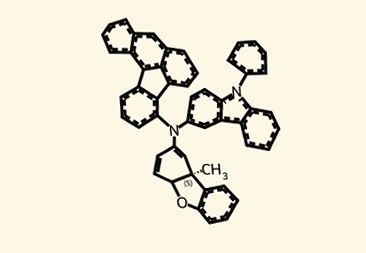 C[C@@]12C=C(N(c3ccc4c(c3)c3ccccc3n4-c3ccccc3)c3cccc4c3-c3cccc5cc6ccccc6c-4c35)C=CC1Oc1ccccc12